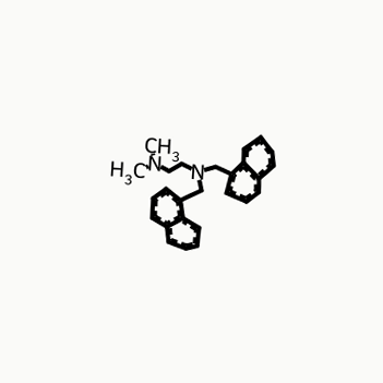 CN(C)CCN(Cc1cccc2ccccc12)Cc1cccc2ccccc12